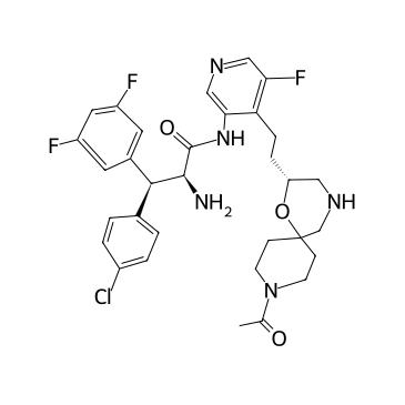 CC(=O)N1CCC2(CC1)CNC[C@@H](CCc1c(F)cncc1NC(=O)[C@@H](N)[C@@H](c1ccc(Cl)cc1)c1cc(F)cc(F)c1)O2